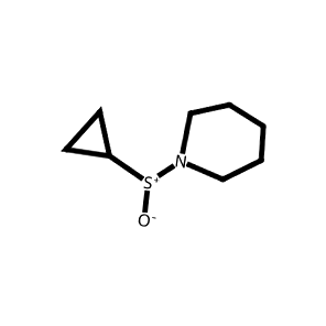 [O-][S+](C1CC1)N1CCCCC1